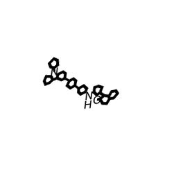 c1ccc(-n2c3ccccc3c3cc(-c4ccc(-c5ccc(Nc6cccc7c6oc6ccc8ccccc8c67)cc5)cc4)ccc32)cc1